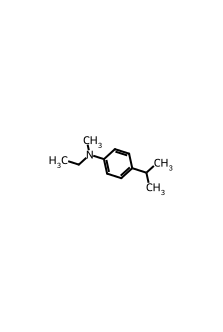 CCN(C)c1ccc(C(C)C)cc1